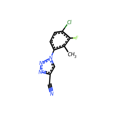 Cc1c(-n2cc(C#N)nn2)ccc(Cl)c1F